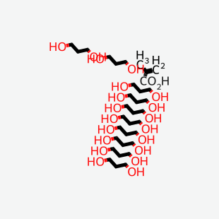 C=C(C)C(=O)O.OCCCO.OCCCO.OCCCO.OCCCO.OCCCO.OCCCO.OCCCO.OCCCO.OCCCO.OCCCO